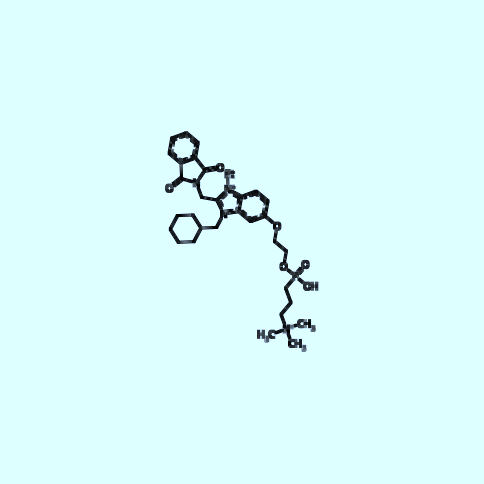 CC[n+]1c(CN2C(=O)c3ccccc3C2=O)n(CC2CCCCC2)c2cc(OCCOP(=O)(O)CCC[N+](C)(C)C)ccc21